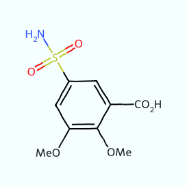 COc1cc(S(N)(=O)=O)cc(C(=O)O)c1OC